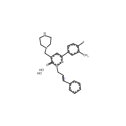 Cc1cc(-c2cc(CN3CCNCC3)c(=O)n(C/C=C/c3ccccc3)n2)ccc1F.Cl.Cl